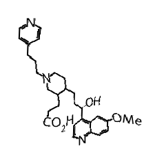 COc1ccc2nccc([C@@H](O)CCC3CCN(CCCc4ccncc4)CC3CCC(=O)O)c2c1